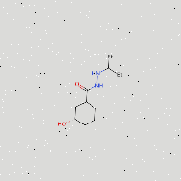 CCC(CC)NNC(=O)C1CCC[C@H](O)C1